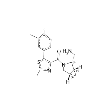 Cc1nc(C(=O)N2C[C@H]3C[C@H]3[C@H]2CN)c(-c2ccc(C)c(C)c2)s1